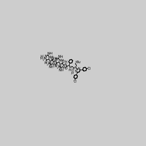 CC(C)(C)CCN(c1nc(-c2ccc(Cl)cc2)cc(-c2ccc(Cl)cc2)n1)C(O)CNC(C(=O)NC(NC(=N)N)C(=O)NC(NC(=N)N)C(=O)NC(NC(=N)N)C(=O)NC(NC(=N)N)C(N)=O)c1ccccc1